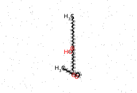 CCCCCC=CCC=CCCCCCCCCOCC(O)CCCCCCCCC=CC[C@@H](CCCCCC)OC1CCCCO1